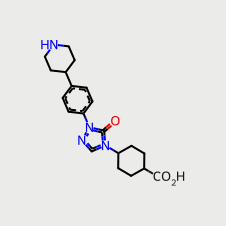 O=C(O)C1CCC(n2cnn(-c3ccc(C4CCNCC4)cc3)c2=O)CC1